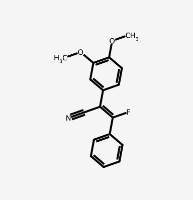 COc1ccc(C(C#N)=C(F)c2ccccc2)cc1OC